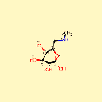 CNC[C@H]1O[C@H](O)[C@H](O)[C@@H](O)[C@H]1O